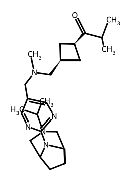 CC(C)C(=O)[C@H]1C[C@@H](CN(C)Cc2cnc(N3C4CCC3CN(C(C)C)C4)nc2)C1